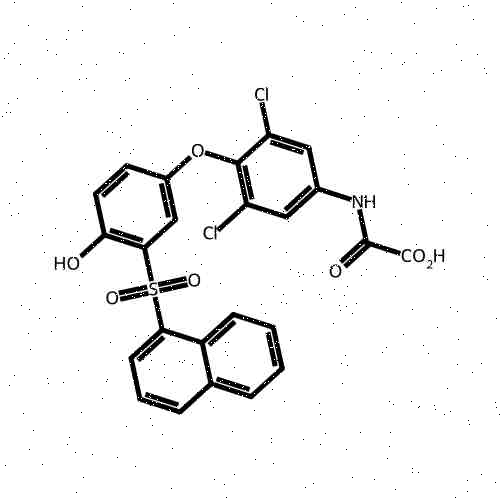 O=C(O)C(=O)Nc1cc(Cl)c(Oc2ccc(O)c(S(=O)(=O)c3cccc4ccccc34)c2)c(Cl)c1